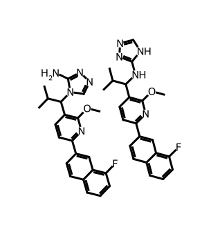 COc1nc(-c2ccc3cccc(F)c3c2)ccc1C(C(C)C)n1cnnc1N.COc1nc(-c2ccc3cccc(F)c3c2)ccc1C(Nc1nnc[nH]1)C(C)C